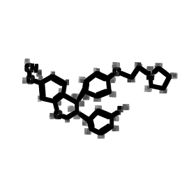 COc1ccc2c(c1)OC[C@H](c1cccc(F)c1)[C@@H]2c1ccc(OCCN2CCCC2)cc1